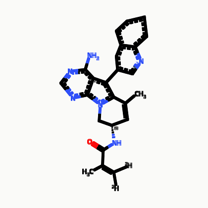 [2H]C([2H])=C(C)C(=O)N[C@H]1C=C(C)c2c(-c3cnc4ccccc4c3)c3c(N)ncnc3n2C1